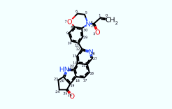 C=CC(=O)N1CCOc2ccc(-c3cc4c(ccc5c6c([nH]c54)CCC6=O)cn3)cc21